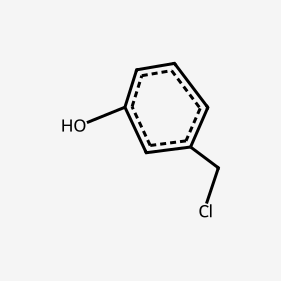 Oc1cccc(CCl)c1